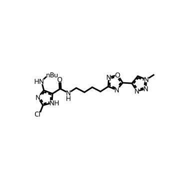 CCCCNc1nc(Cl)[nH]c1C(=O)NCCCCc1noc(-c2cn(C)nn2)n1